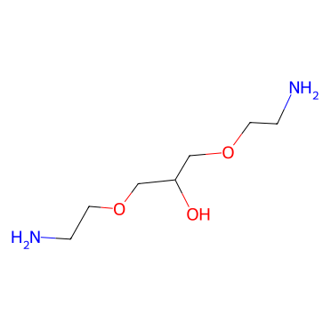 NCCOCC(O)COCCN